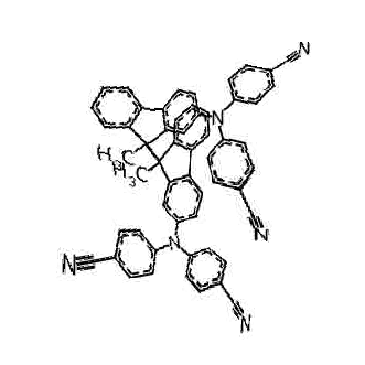 CC1(C2(C)c3ccccc3-c3ccc(N(c4ccc(C#N)cc4)c4ccc(C#N)cc4)cc32)c2ccccc2-c2ccc(N(c3ccc(C#N)cc3)c3ccc(C#N)cc3)cc21